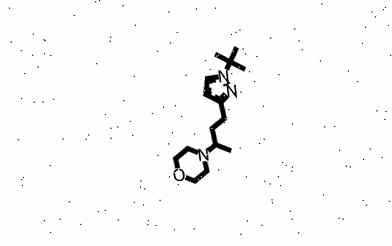 CC(CCc1ccn(C(C)(C)C)n1)N1CCOCC1